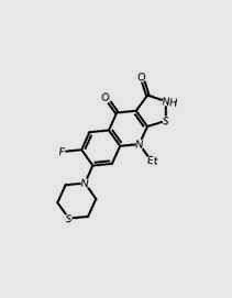 CCn1c2cc(N3CCSCC3)c(F)cc2c(=O)c2c(=O)[nH]sc21